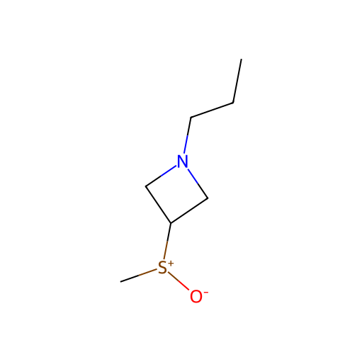 CCCN1CC([S+](C)[O-])C1